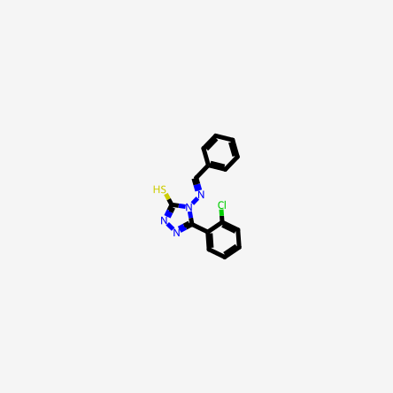 Sc1nnc(-c2ccccc2Cl)n1/N=C/c1ccccc1